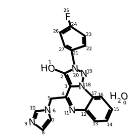 O.OC1=C2C(Cn3ccnc3)=Nc3ccccc3N2[N]N1c1ccc(F)cc1